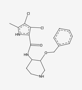 Cc1[nH]c(C(=O)NC2CCNCC2OCc2ccccc2)c(Cl)c1Cl